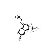 BCCc1cccc2cc(Br)ccc12.CN(C)C